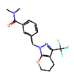 CN(C)C(=O)c1cccc(Cn2nc(C(F)(F)F)c3c2OCCC3)c1